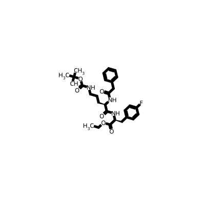 CCOC(=O)[C@H](Cc1ccc(F)cc1)NC(=O)[C@@H](CCCNC(=O)OC(C)(C)C)NC(=O)Cc1ccccc1